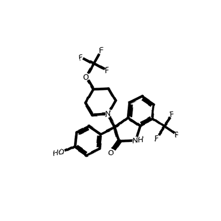 O=C1Nc2c(C(F)(F)F)cccc2C1(c1ccc(O)cc1)N1CCC(OC(F)(F)F)CC1